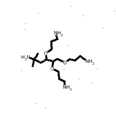 CC(C)(N)CC(OCCCN)C(COCCCN)OCCCN